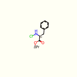 CCCOC(=O)[C@H](Cc1ccccc1)NCl